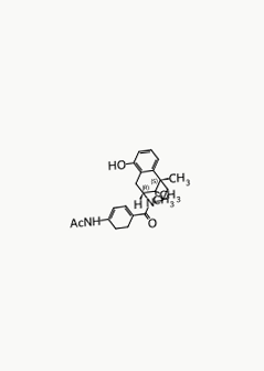 CC(=O)NC1=CC=C(C(=O)N2CC[C@@]3(C)c4cccc(O)c4C[C@@H]2C3(C)C)CC1